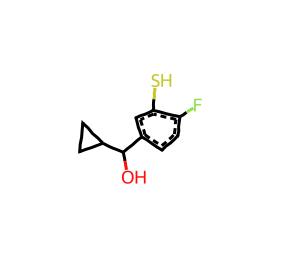 OC(c1ccc(F)c(S)c1)C1CC1